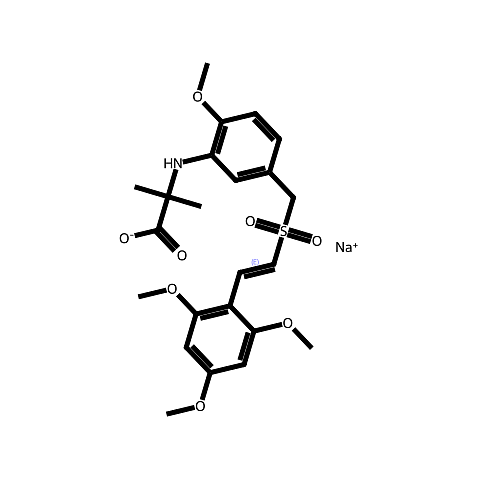 COc1cc(OC)c(/C=C/S(=O)(=O)Cc2ccc(OC)c(NC(C)(C)C(=O)[O-])c2)c(OC)c1.[Na+]